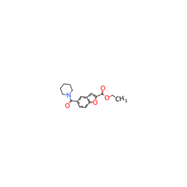 CCOC(=O)c1cc2cc(C(=O)N3CCCCC3)ccc2o1